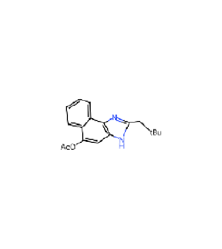 CC(=O)Oc1cc2[nH]c(CC(C)(C)C)nc2c2ccccc12